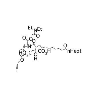 CC#CCOc1ccc(C[C@H](NC(=O)[C@@H](/C=C/CCCCCCC(=O)CCCCCCC)[C@@](O)(CC(=O)O)C(=O)O)C(=O)OCC(=O)N(CC)CC)cc1